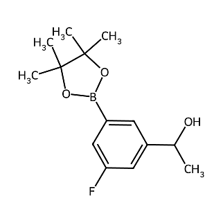 CC(O)c1cc(F)cc(B2OC(C)(C)C(C)(C)O2)c1